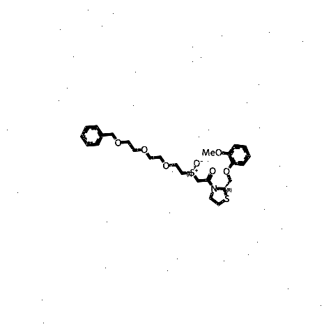 COc1ccccc1OC[C@H]1SCCN1C(=O)C[S@@+]([O-])CCOCCOCCOCc1ccccc1